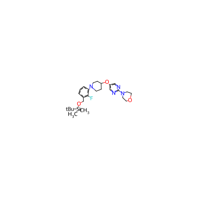 CC(C)(C)[Si](C)(C)OCc1cccc(N2CCC(Oc3cnc(N4CCOCC4)nc3)CC2)c1F